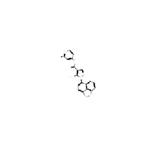 O=C(Nc1ccnc(C(F)(F)F)c1)c1cnn(-c2ccc3c4c(cccc24)[S+]([O-])N3)c1C(F)(F)F